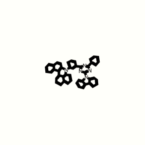 c1ccc(-c2nc(-c3cccc(N4c5ccc6ccccc6c5-c5cccc6cccc4c56)c3)nc(-n3c4ccccc4c4ccccc43)n2)cc1